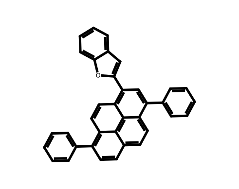 c1ccc(-c2ccc3ccc4c(-c5ccccc5)cc(-c5cc6ccccc6o5)c5ccc2c3c45)cc1